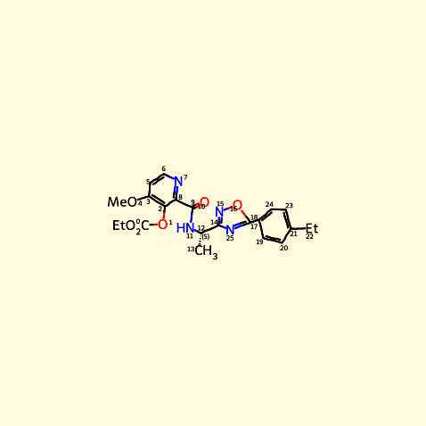 CCOC(=O)Oc1c(OC)ccnc1C(=O)N[C@@H](C)c1noc(-c2ccc(CC)cc2)n1